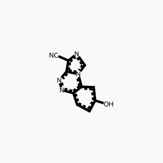 N#Cc1ncn2c1nnc1ccc(O)cc12